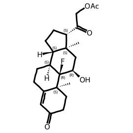 CC(=O)OCC(=O)[C@H]1CC[C@H]2[C@@H]3CCC4=CC(=O)CC[C@]4(C)[C@@]3(F)[C@H](O)C[C@]12C